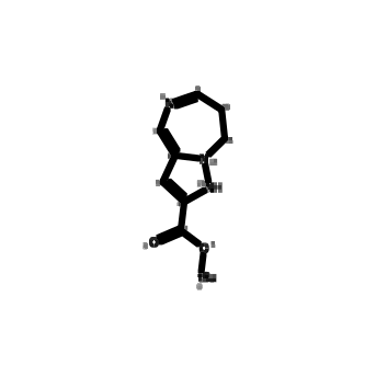 CC(C)(C)OC(=O)C1=CC2=CN=CCCN2N1